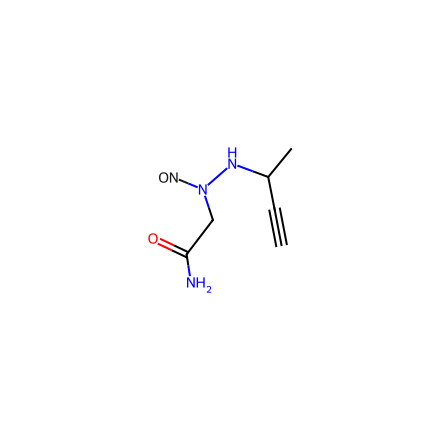 C#CC(C)NN(CC(N)=O)N=O